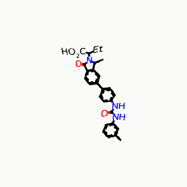 CCC(C(=O)O)N1C(=O)c2ccc(-c3ccc(NC(=O)Nc4cccc(C)c4)cc3)cc2C1C